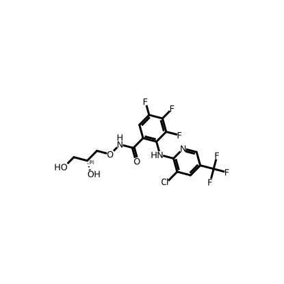 O=C(NOC[C@H](O)CO)c1cc(F)c(F)c(F)c1Nc1ncc(C(F)(F)F)cc1Cl